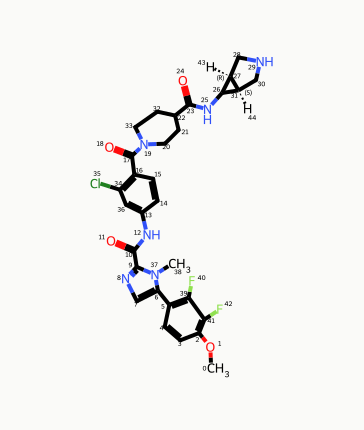 COc1ccc(-c2cnc(C(=O)Nc3ccc(C(=O)N4CCC(C(=O)NC5[C@H]6CNC[C@@H]56)CC4)c(Cl)c3)n2C)c(F)c1F